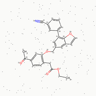 CCOC(=O)Cc1ccc(C(C)=O)cc1OCc1cc(-c2cccc(C#N)c2)c2occc2c1